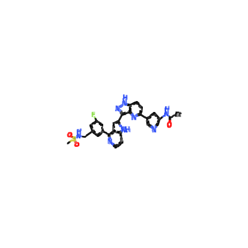 CCC(=O)Nc1cncc(-c2ccc3[nH]nc(-c4cc5c(-c6cc(F)cc(CNS(C)(=O)=O)c6)nccc5[nH]4)c3n2)c1